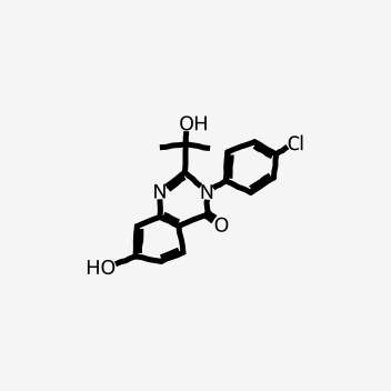 CC(C)(O)c1nc2cc(O)ccc2c(=O)n1-c1ccc(Cl)cc1